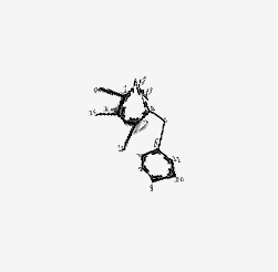 Cc1nnc(Cc2ccccc2)c(C)c1C